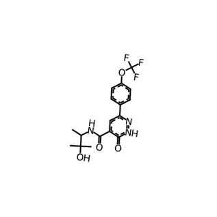 CC(NC(=O)c1cc(-c2ccc(OC(F)(F)F)cc2)n[nH]c1=O)C(C)(C)O